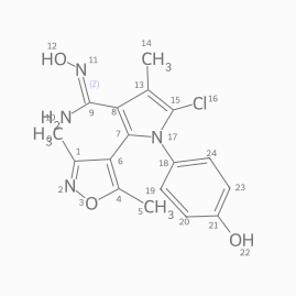 Cc1noc(C)c1-c1c(/C(N)=N/O)c(C)c(Cl)n1-c1ccc(O)cc1